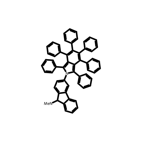 CNC1c2ccccc2-c2cc(-n3c(-c4ccccc4)c4c(-c5ccccc5)c(-c5ccccc5)c(-c5ccccc5)c(-c5ccccc5)c4c3-c3ccccc3)ccc21